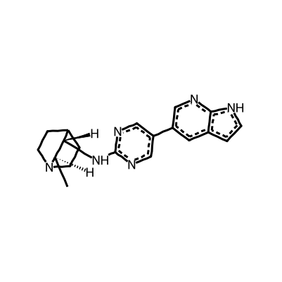 C[C@@H]1[C@@H](Nc2ncc(-c3cnc4[nH]ccc4c3)cn2)C2CCN1CC2